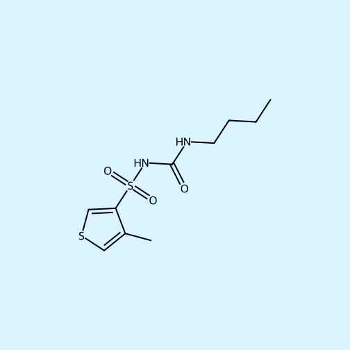 CCCCNC(=O)NS(=O)(=O)c1cscc1C